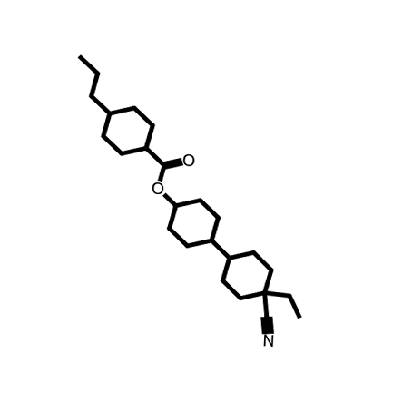 CCCC1CCC(C(=O)OC2CCC(C3CCC(C#N)(CC)CC3)CC2)CC1